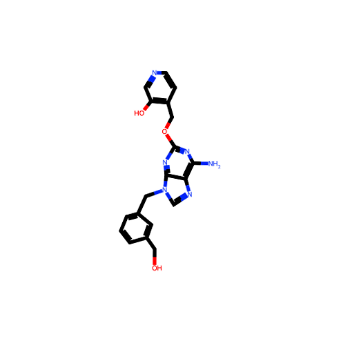 Nc1nc(OCc2ccncc2O)nc2c1ncn2Cc1cccc(CO)c1